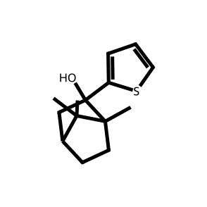 CC1(C)C2CCC1(C)C(O)(c1cccs1)C2